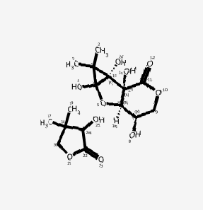 CC1(C)C2(O)O[C@@H]3[C@H](O)COC(=O)[C@@]3(O)[C@]12O.CC1(C)COC(=O)C1O